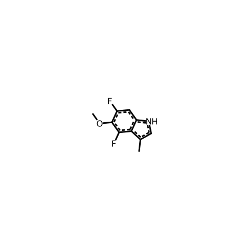 COc1c(F)cc2[nH]cc(C)c2c1F